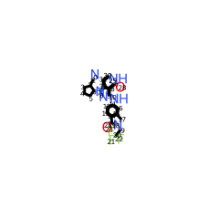 N#CC1CCCC1n1nc(Nc2ccc3c(c2)CN(CC(F)(F)F)C3=O)c2c(=O)[nH]ccc21